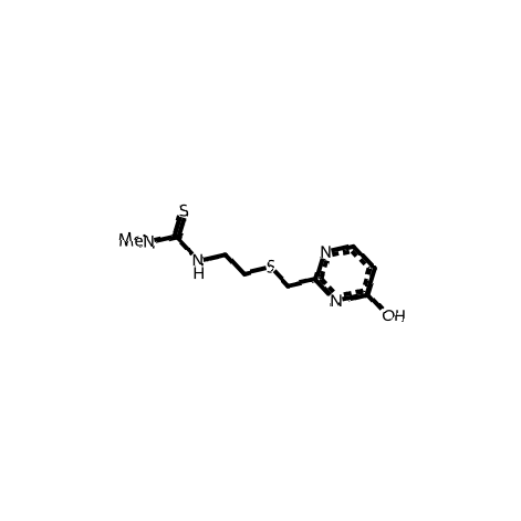 CNC(=S)NCCSCc1nccc(O)n1